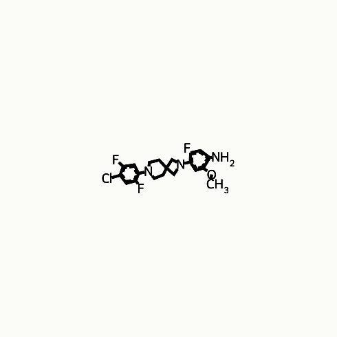 COc1cc(N2CC3(CCN(c4cc(F)c(Cl)cc4F)CC3)C2)c(F)cc1N